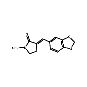 O=CN1CC/C(=C\c2ccc3c(c2)OCO3)C1=O